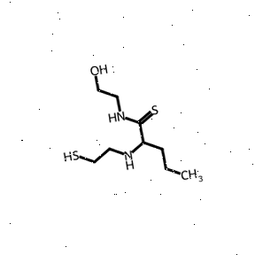 CCCC(NCCS)C(=S)NCCO